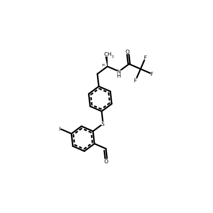 C[C@H](Cc1ccc(Sc2cc(I)ccc2C=O)cc1)NC(=O)C(F)(F)F